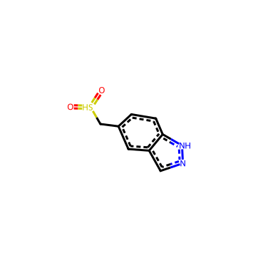 O=[SH](=O)Cc1ccc2[nH]ncc2c1